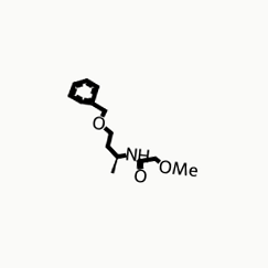 COCC(=O)N[C@@H](C)CCOCc1ccccc1